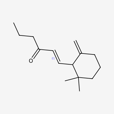 C=C1CCCC(C)(C)C1/C=C/C(=O)CCC